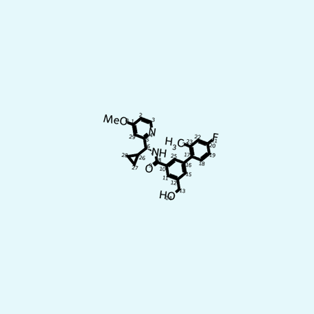 COc1ccnc([C@H](NC(=O)c2cc(CO)cc(-c3ccc(F)cc3C)c2)C2CC2)c1